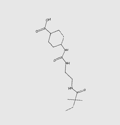 CCC(C)(C)C(=O)NCCNC(=O)NC1CCC(C(=O)O)CC1